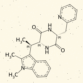 Cc1c([C@@H](C)[C@H]2NC(=O)[C@@H](Cc3ccccn3)NC2=O)c2ccccc2n1C